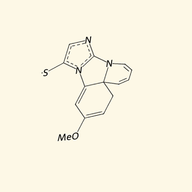 COC1=CCC23C=CC=CN2c2ncc([S])n2C3=C1